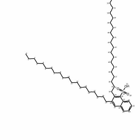 CCCCCCCCCCCCCCCCCCCCc1cc2ccccc2c(S(=O)(=O)O)c1CCCCCCCCCCCCCCCCCCCC